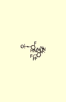 COC(C)(C)C#Cc1cc(F)cc(Nc2nc3nnc(C)n3c3ccc(F)c(CC(F)F)c23)c1